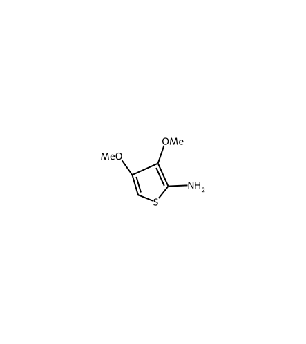 COc1csc(N)c1OC